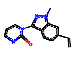 C=Cc1ccc2c(-n3cccnc3=O)nn(C)c2c1